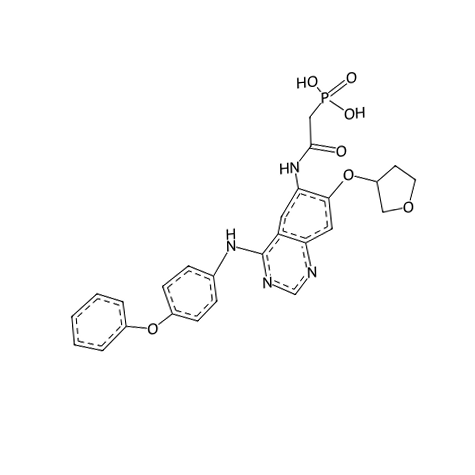 O=C(CP(=O)(O)O)Nc1cc2c(Nc3ccc(Oc4ccccc4)cc3)ncnc2cc1OC1CCOC1